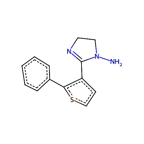 NN1CCN=C1c1ccsc1-c1ccccc1